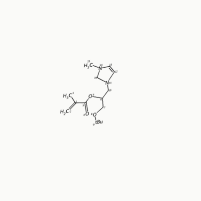 C=C(C)C(=O)OC(COC(C)(C)C)CN1C=CN(C)C1